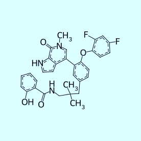 Cn1cc(-c2cc(CC(C)(C)CNC(=O)c3ccccc3O)ccc2Oc2ccc(F)cc2F)c2cc[nH]c2c1=O